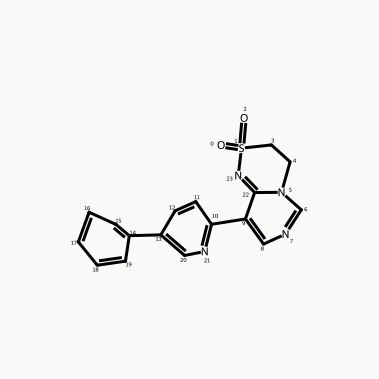 O=S1(=O)CCN2C=NC=C(c3ccc(-c4ccccc4)cn3)C2=N1